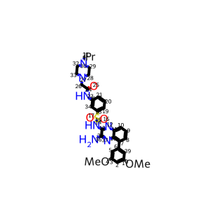 COc1cc(OC)cc(-c2cccc3nc(NS(=O)(=O)c4cccc(NC(=O)CN5CCN(C(C)C)CC5)c4)c(N)nc23)c1